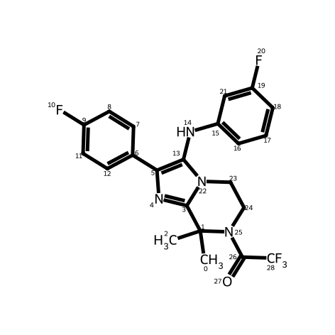 CC1(C)c2nc(-c3ccc(F)cc3)c(Nc3cccc(F)c3)n2CCN1C(=O)C(F)(F)F